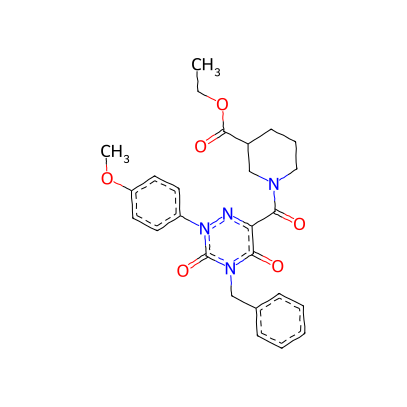 CCOC(=O)C1CCCN(C(=O)c2nn(-c3ccc(OC)cc3)c(=O)n(Cc3ccccc3)c2=O)C1